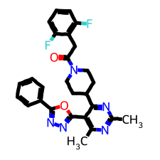 Cc1nc(C)c(-c2nnc(-c3ccccc3)o2)c(C2CCN(C(=O)Cc3c(F)cccc3F)CC2)n1